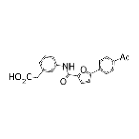 CC(=O)c1ccc(-c2ccc(C(=O)Nc3cccc(CC(=O)O)c3)o2)cc1